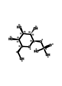 O=P(O)(O)O[C@H]1O[C@@H](CO)[C@@H](O)[C@@H](O)[C@@H]1O